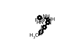 CCN1CCN(c2ccc(-c3cnc4[nH]cc(C(=N)N(C=N)c5cccc(F)c5F)c4c3)cn2)CC1